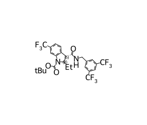 CC[C@@H]1[C@@H](C(=O)NCc2cc(C(F)(F)F)cc(C(F)(F)F)c2)c2ccc(C(F)(F)F)cc2N1C(=O)OC(C)(C)C